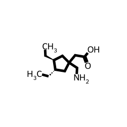 CC[C@H]1CC(CN)(CC(=O)O)C[C@@H]1CC